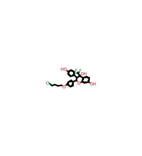 Oc1ccc(C2C(c3ccc(OCCCCCl)cc3)Oc3cc(O)ccc3C2(O)C(F)(F)F)cc1